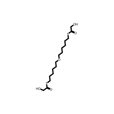 O=C(CO)SCCCCCCOCCCCCCSC(=O)CO